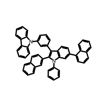 c1ccc(-n2c(-c3ccc4ccccc4c3)c(-c3cccc(-n4c5ccccc5c5ccccc54)c3)c3ccc(-c4cccc5ccccc45)cc32)cc1